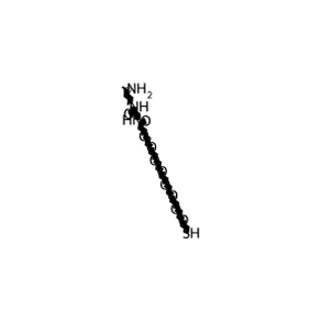 C[C@@H](N)CCCNC(=O)CNC(=O)CCOCCOCCOCCOCCOCCOCCOCCOCCS